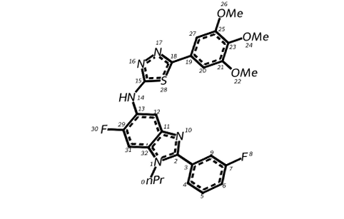 CCCn1c(-c2cccc(F)c2)nc2cc(Nc3nnc(-c4cc(OC)c(OC)c(OC)c4)s3)c(F)cc21